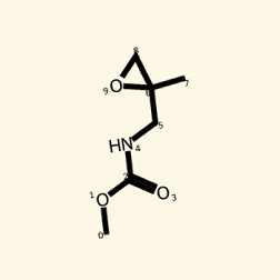 COC(=O)NCC1(C)CO1